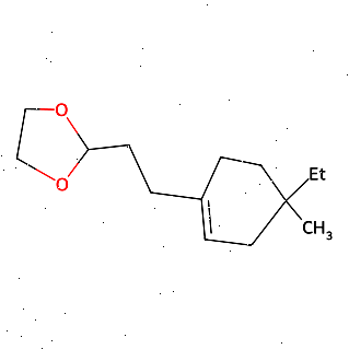 CCC1(C)CC=C(CCC2OCCO2)CC1